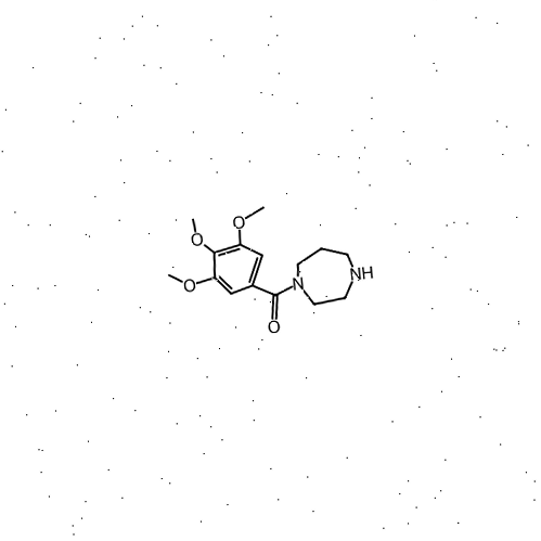 COc1cc(C(=O)N2CCCNCC2)cc(OC)c1OC